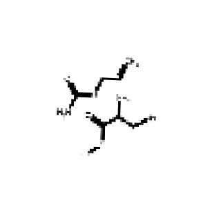 C=CCOC(N)=O.CC(C)C[C@H](N)C(=O)OO